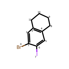 Brc1cc2c(cc1I)CCCC2